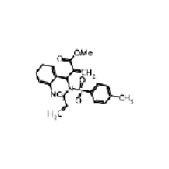 C=CCN(C(C(=C)C(=O)OC)C1=CCCC=C1[N+](=O)[O-])S(=O)(=O)c1ccc(C)cc1